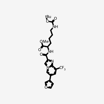 COC(=O)C(CCCCNC(=O)OC(C)(C)C)NC(=O)c1cn2cc(-c3ccoc3)cc(C(F)(F)F)c2n1